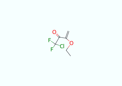 C=C(OCC)C(=O)C(F)(F)Cl